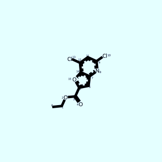 CCOC(=O)c1cc2nc(Cl)cc(Cl)c2o1